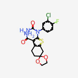 NC(=O)c1c(N(C(N)=O)c2ccc(F)c(Cl)c2)sc2c1CCC1(C2)OCCO1